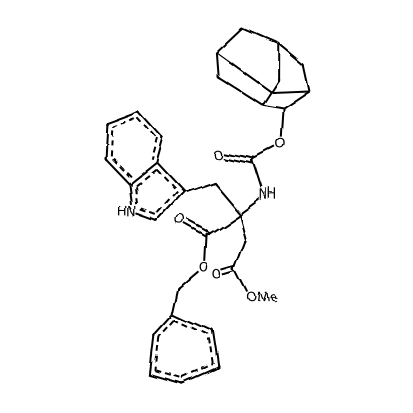 COC(=O)CC(Cc1c[nH]c2ccccc12)(NC(=O)OC1C2CC3CC(C2)CC1C3)C(=O)OCc1ccccc1